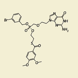 COc1ccc(C(=O)SCCOP(=O)(COCCn2cnc3c(=O)[nH]c(N)nc32)OCc2cccc(Br)c2)cc1OC